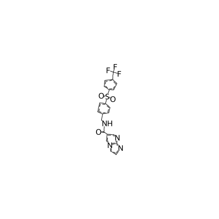 O=C(NCc1ccc(S(=O)(=O)c2ccc(C(F)(F)F)cc2)cc1)c1cnc2nccn2c1